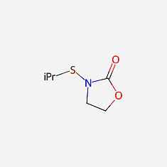 CC(C)SN1CCOC1=O